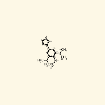 CC(C)c1cc(-c2ccsc2)cc(C(C)C)c1N=C=O